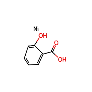 O=C(O)c1ccccc1O.[Ni]